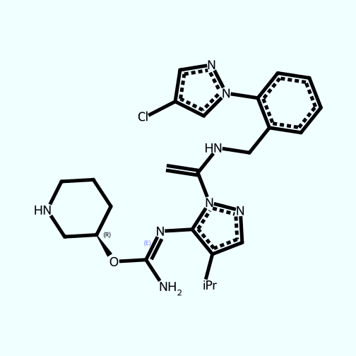 C=C(NCc1ccccc1-n1cc(Cl)cn1)n1ncc(C(C)C)c1/N=C(\N)O[C@@H]1CCCNC1